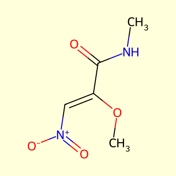 CNC(=O)C(=C[N+](=O)[O-])OC